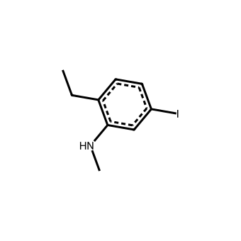 CCc1ccc(I)cc1NC